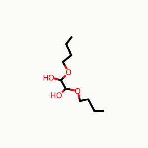 CCCCOC(O)C(O)OCCCC